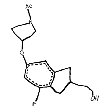 CC(=O)N1CC(Oc2cc(F)c3c(c2)CC(CO)C3)C1